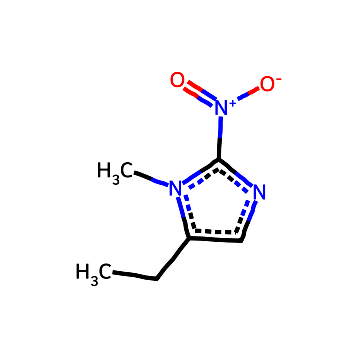 CCc1cnc([N+](=O)[O-])n1C